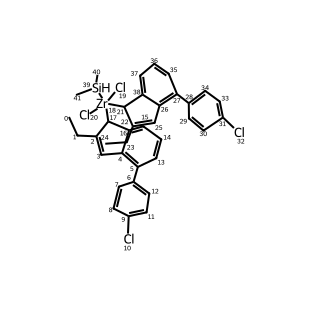 CCC1=Cc2c(-c3ccc(Cl)cc3)cccc2[CH]1[Zr]([Cl])([Cl])([CH]1C(CC)=Cc2c(-c3ccc(Cl)cc3)cccc21)[SiH](C)C